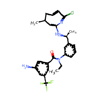 CCN(C(=O)c1cc(N)cc(C(F)(F)F)c1)c1cccc([C@H](C)NC2=C/C(C)C/C=C/C(Cl)=N\2)c1